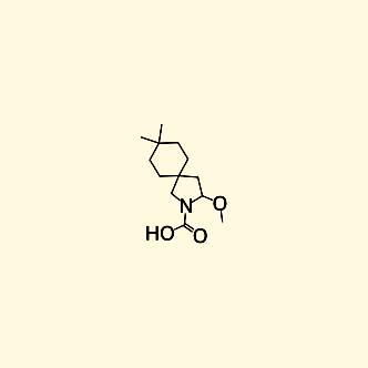 COC1CC2(CCC(C)(C)CC2)CN1C(=O)O